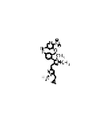 C[C@@H](Oc1cc(Br)cnc1[N+](=O)[O-])c1cc(F)ccc1-c1nn(C)cc1Cc1cc(CC2CC2)n(C)n1